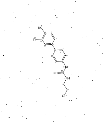 N#Cc1ccc(-c2ccc(NC(=O)NCCCl)cc2)cc1Cl